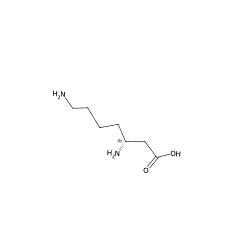 NCCCC[C@@H](N)CC(=O)O